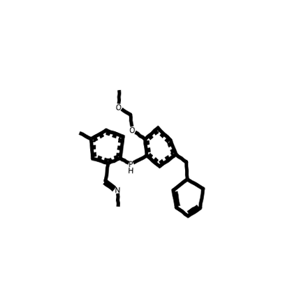 C/N=C/c1cc(C)ccc1Pc1cc(CC2C=CC=CC2)ccc1OCOC